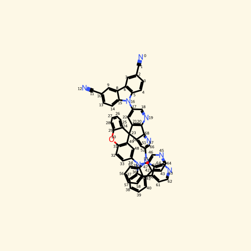 N#Cc1ccc2c(c1)c1cc(C#N)ccc1n2-c1cnc2c(c1)C1(c3ccccc3Oc3ccc(-n4c5ccccc5c5ccncc54)cc31)c1cc(-n3c4ccccc4c4ccncc43)cnc1-2